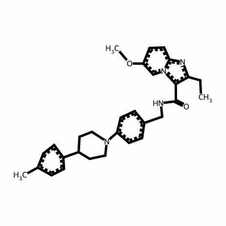 CCc1nc2ccc(OC)cn2c1C(=O)NCc1ccc(N2CCC(c3ccc(C)cc3)CC2)cc1